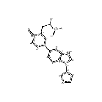 CC(Cn1cc(-c2ccc3c(c2)ncn3-c2ccsc2)ccc1=O)N(C)C